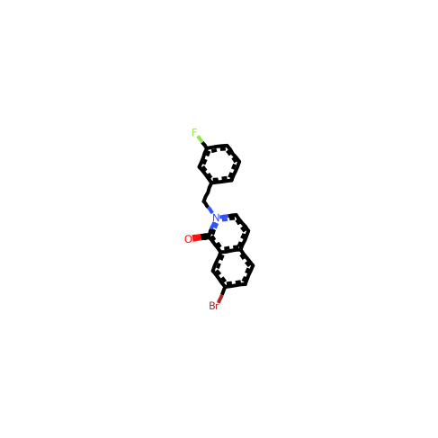 O=c1c2cc(Br)ccc2ccn1Cc1cccc(F)c1